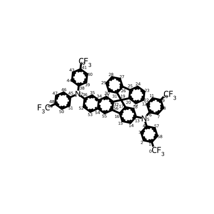 FC(F)(F)c1ccc(N(c2ccc(C(F)(F)F)cc2)c2ccc3c(c2)C2(c4ccccc4-c4ccccc42)c2cc4cc(N(c5ccc(C(F)(F)F)cc5)c5ccc(C(F)(F)F)cc5)ccc4cc2-3)cc1